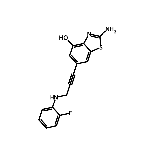 Nc1nc2c(O)cc(C#CCNc3ccccc3F)cc2s1